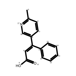 Cc1ccc(C(=CC(=O)O)c2ccccc2)cn1